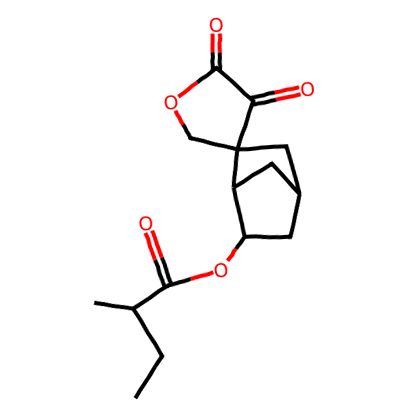 CCC(C)C(=O)OC1CC2CC1C1(COC(=O)C1=O)C2